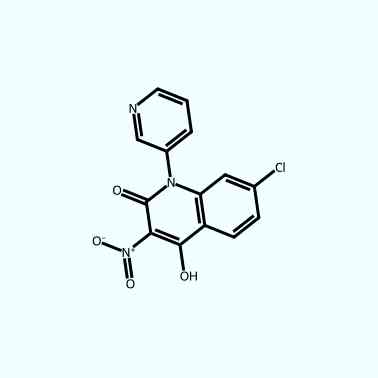 O=c1c([N+](=O)[O-])c(O)c2ccc(Cl)cc2n1-c1cccnc1